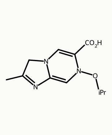 CC1=NC2=CN(OC(C)C)C(C(=O)O)=CN2C1